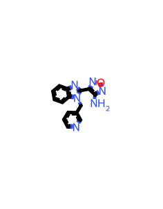 Nc1nonc1-c1nc2ccccc2n1Cc1cccnc1